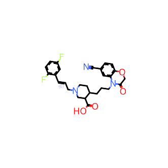 N#Cc1ccc2c(c1)N(CCCC1CCN(C/C=C/c3cc(F)ccc3F)CC1C(=O)O)C(=O)CO2